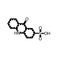 O=c1c2ccccc2[nH]c2ccc(S(=O)(=O)O)cc12